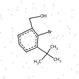 CC(C)(C)c1cccc([CH]O)c1Br